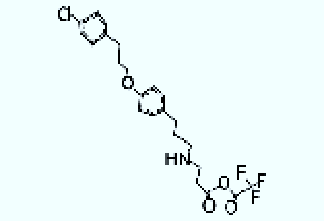 O=C(CCNCCCc1ccc(OCCCc2ccc(Cl)cc2)cc1)OC(=O)C(F)(F)F